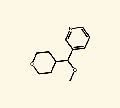 COC(c1cccnc1)C1CCOCC1